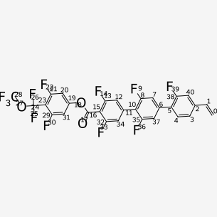 C=Cc1ccc(-c2cc(F)c(-c3cc(F)c(C(=O)Oc4cc(F)c(C(F)(F)OC(F)(F)F)c(F)c4)c(F)c3)c(F)c2)c(F)c1